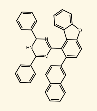 c1ccc(C2=NC(c3c(-c4ccc5ccccc5c4)ccc4oc5ccccc5c34)=NC(c3ccccc3)N2)cc1